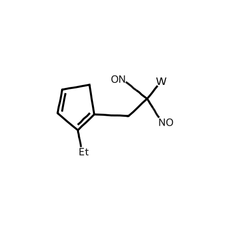 CCC1=C(C[C]([W])(N=O)N=O)CC=C1